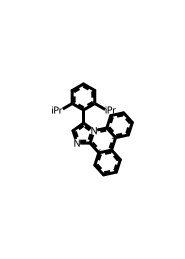 CC(C)c1cccc(C(C)C)c1-c1cnc2c3ccccc3c3ccccc3n12